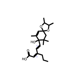 CCCC(=C/C(=O)O)/C=C/C1(O)C(C)=CC2(CC1(C)C)OC(C)C(C)O2